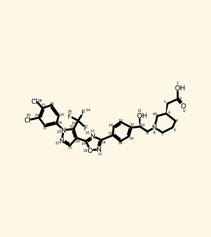 O=C(O)C[C@H]1CCCN(C[C@H](O)c2ccc(-c3noc(-c4cnn(-c5ccc(Cl)c(Cl)c5)c4C(F)(F)F)n3)cc2)C1